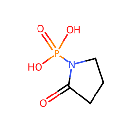 O=C1CCCN1P(=O)(O)O